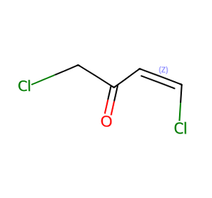 O=C(/C=C\Cl)CCl